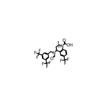 C[C@@H]1C[C@H](N(C=O)Cc2cc(C(F)(F)F)cc(C(F)(F)F)c2)c2cc(C(F)(F)F)ccc2N1C(=O)O